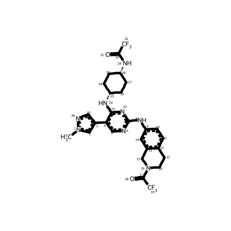 Cn1cc(-c2cnc(Nc3ccc4c(c3)CN(C(=O)C(F)(F)F)CC4)nc2N[C@H]2CC[C@@H](NC(=O)C(F)(F)F)CC2)cn1